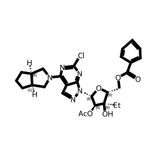 CC[C@@]1(O)[C@@H](COC(=O)c2ccccc2)O[C@@H](n2ncc3c(N4C[C@H]5CCC[C@H]5C4)nc(Cl)nc32)[C@@H]1OC(C)=O